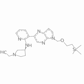 C[Si](C)(C)CCOCn1ccc2nc(-c3cccnc3N[C@H]3CCN(CC=O)C3)cnc21